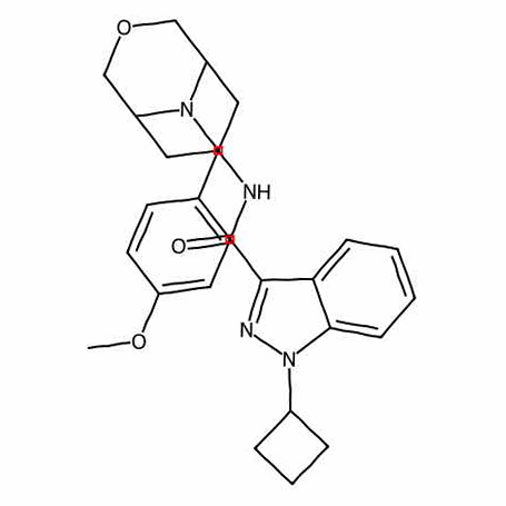 COc1ccc(CN2C3COCC2CC(NC(=O)c2nn(C4CCC4)c4ccccc24)C3)cc1